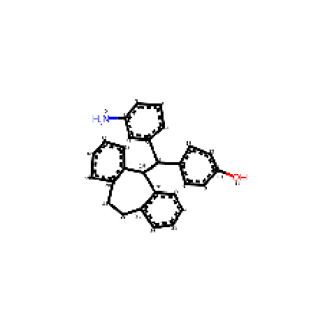 Nc1cccc(C(c2ccc(O)cc2)C2c3ccccc3CCc3ccccc32)c1